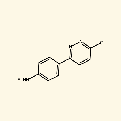 CC(=O)Nc1ccc(-c2ccc(Cl)nn2)cc1